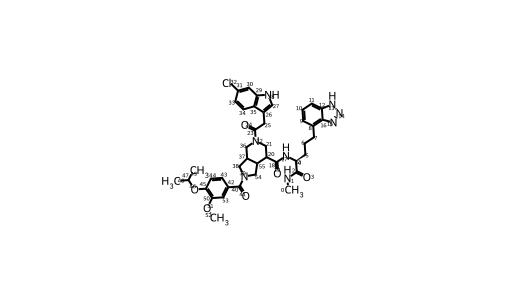 CNC(=O)[C@H](CCCc1cccc2[nH]nnc12)NC(=O)C1CN(C(=O)Cc2c[nH]c3cc(Cl)ccc23)CC2CN(C(=O)c3ccc(OC(C)C)c(OC)c3)CC21